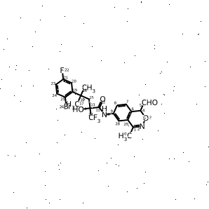 CC1=NOC(C=O)c2ccc(NC(=O)C(O)(CC(C)(C)c3cc(F)ccc3Br)C(F)(F)F)cc21